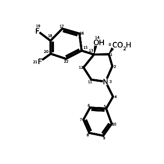 O=C(O)[C@H]1CN(Cc2ccccc2)CC[C@]1(O)c1ccc(F)c(F)c1